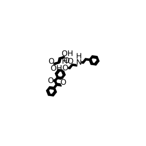 O=C(O)C=CC(=O)O.O=c1c(-c2ccccc2)coc2cc(OCC(O)CNCCc3ccccc3)ccc12